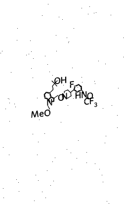 COCCn1cc(CON2CCC(c3cc(CNC(=O)C(F)(F)F)ccc3F)CC2)c2c(CCC(C)(C)O)cccc21